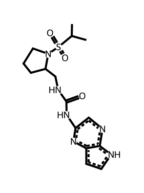 CC(C)S(=O)(=O)N1CCCC1CNC(=O)Nc1cnc2[nH]ccc2n1